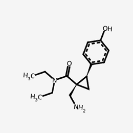 CCN(CC)C(=O)[C@@]1(CN)C[C@@H]1c1ccc(O)cc1